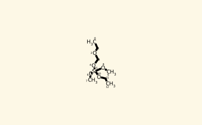 CCOCO[Si](OC)(OC)OCC